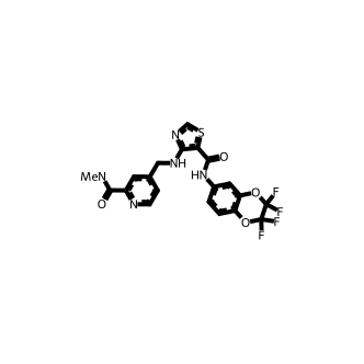 CNC(=O)c1cc(CNc2ncsc2C(=O)Nc2ccc3c(c2)OC(F)(F)C(F)(F)O3)ccn1